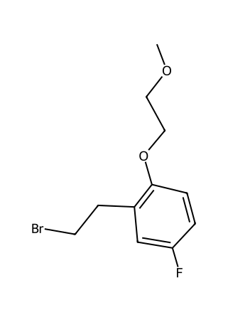 COCCOc1ccc(F)cc1CCBr